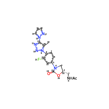 CC(=O)NC[C@H]1CN(c2ccc(-n3nnc(-n4cccn4)c3C)c(F)c2)C(=O)O1